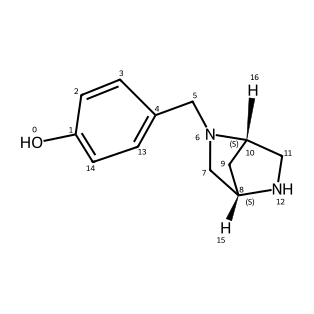 Oc1ccc(CN2C[C@@H]3C[C@H]2CN3)cc1